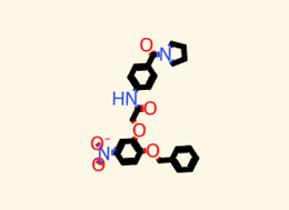 O=C(COc1cc([N+](=O)[O-])ccc1OCc1ccccc1)Nc1ccc(C(=O)N2CCCC2)cc1